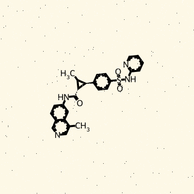 Cc1cncc2ccc(NC(=O)[C@@H]3C(C)[C@H]3c3ccc(S(=O)(=O)Nc4ccccn4)cc3)cc12